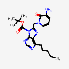 CCCCCc1ncnc2c1nc(Cn1cccc(N)c1=O)n2C(=O)OC(C)(C)C